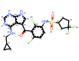 O=C(c1c(F)ccc(NS(=O)(=O)C2CCC(F)(F)C2)c1F)c1c[nH]c2ncnc(NCC3CC3)c12